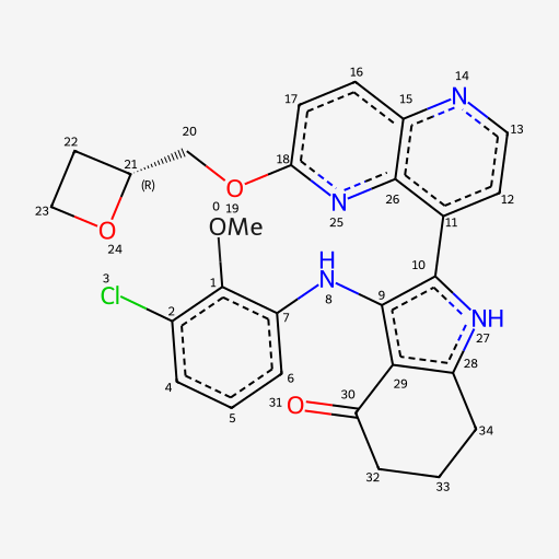 COc1c(Cl)cccc1Nc1c(-c2ccnc3ccc(OC[C@H]4CCO4)nc23)[nH]c2c1C(=O)CCC2